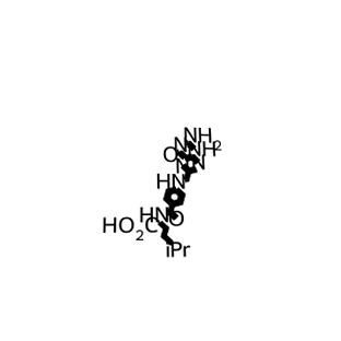 CC(C)CCCC(NC(=O)c1ccc(NCc2cnc3[nH]c(N)nc(=O)c3n2)cc1)C(=O)O